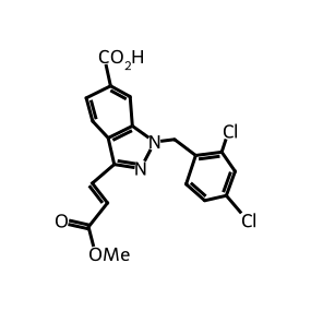 COC(=O)C=Cc1nn(Cc2ccc(Cl)cc2Cl)c2cc(C(=O)O)ccc12